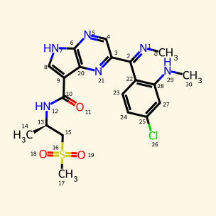 C/N=C(/c1cnc2[nH]cc(C(=O)N[C@H](C)CS(C)(=O)=O)c2n1)c1ccc(Cl)cc1NC